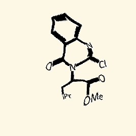 COC(=O)C(CC(C)C)n1c(Cl)nc2ccccc2c1=O